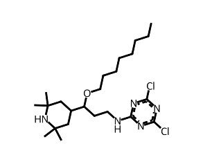 CCCCCCCCOC(CCNc1nc(Cl)nc(Cl)n1)C1CC(C)(C)NC(C)(C)C1